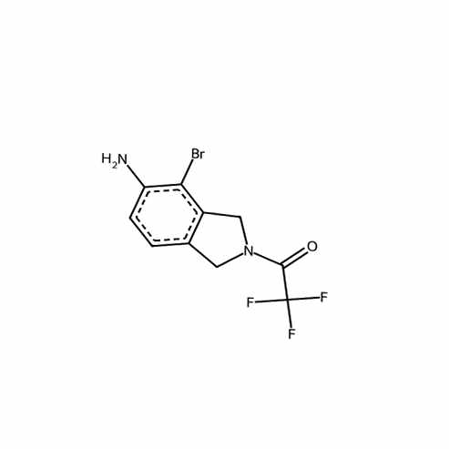 Nc1ccc2c(c1Br)CN(C(=O)C(F)(F)F)C2